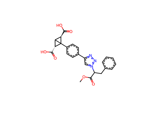 COC(=O)C(Cc1ccccc1)n1cc(-c2ccc(C34C([C@H]3C(=O)O)[C@H]4C(=O)O)cc2)nn1